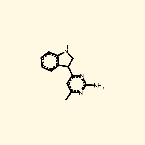 Cc1cc(C2CNc3ccccc32)nc(N)n1